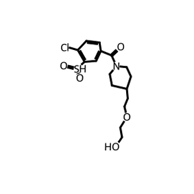 O=C(c1ccc(Cl)c([SH](=O)=O)c1)N1CCC(CCOCCO)CC1